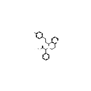 CNC(=O)C(c1ccccc1)N1CCc2ncccc2C1CCc1ccc(F)cc1